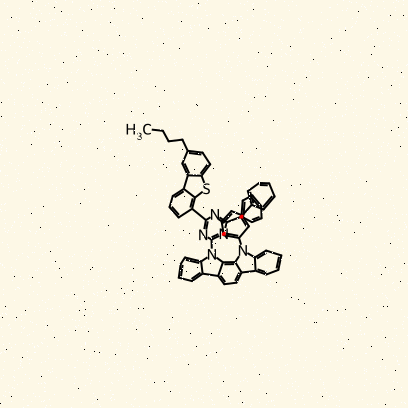 CCCCc1ccc2sc3c(-c4nc(-c5ccccc5)nc(-n5c6ccccc6c6ccc7c8ccccc8n(-c8cccc(-c9ccccc9)c8)c7c65)n4)cccc3c2c1